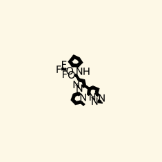 Cc1cccc(-n2nc(C(=O)Nc3ccccc3OC(F)(F)F)cc2-c2ccc3ncnn3c2)n1